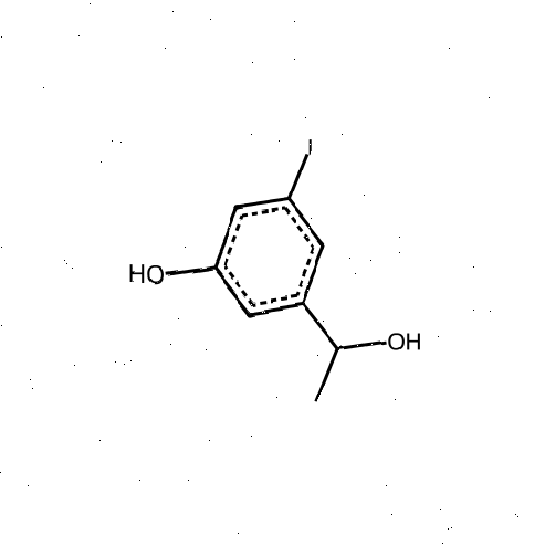 CC(O)c1cc(O)cc(I)c1